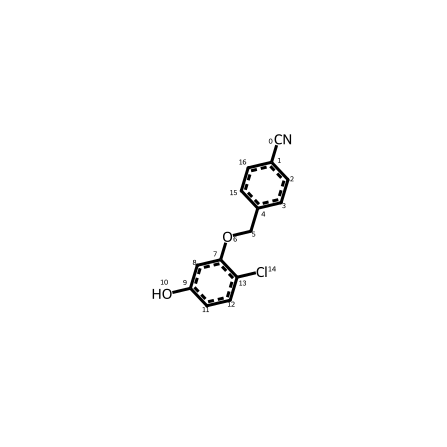 N#Cc1ccc(COc2cc(O)ccc2Cl)cc1